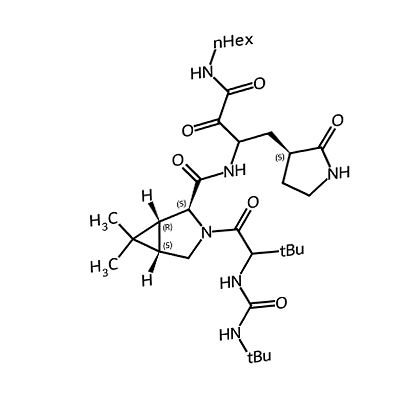 CCCCCCNC(=O)C(=O)C(C[C@@H]1CCNC1=O)NC(=O)[C@@H]1[C@@H]2[C@H](CN1C(=O)C(NC(=O)NC(C)(C)C)C(C)(C)C)C2(C)C